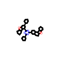 c1ccc(-c2cc(-c3nc(-c4ccccc4)nc(-c4ccc5c(ccc6oc7ccccc7c65)c4)n3)c3c(c2)oc2ccccc23)cc1